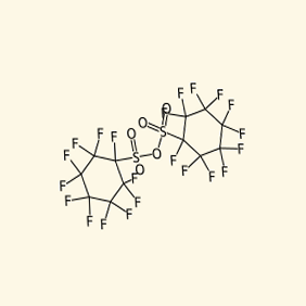 O=S(=O)(OS(=O)(=O)C1(F)C(F)(F)C(F)(F)C(F)(F)C(F)(F)C1(F)F)C1(F)C(F)(F)C(F)(F)C(F)(F)C(F)(F)C1(F)F